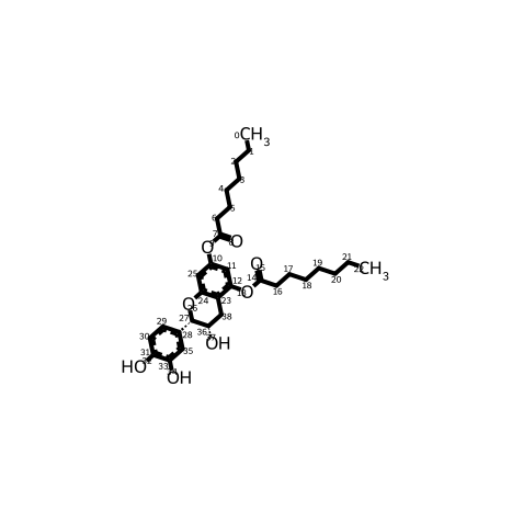 CCCCCCCC(=O)Oc1cc(OC(=O)CCCCCCC)c2c(c1)O[C@@H](c1ccc(O)c(O)c1)[C@@H](O)C2